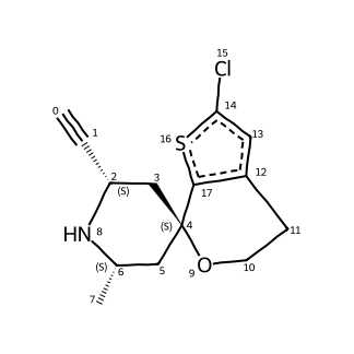 C#C[C@@H]1C[C@]2(C[C@H](C)N1)OCCc1cc(Cl)sc12